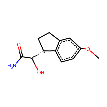 COc1ccc2c(c1)CC[C@H]2C(O)C(N)=O